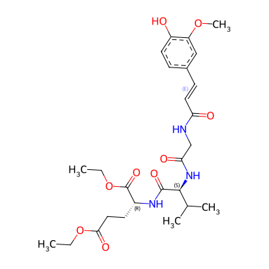 CCOC(=O)CC[C@@H](NC(=O)[C@@H](NC(=O)CNC(=O)/C=C/c1ccc(O)c(OC)c1)C(C)C)C(=O)OCC